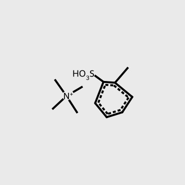 C[N+](C)(C)C.Cc1ccccc1S(=O)(=O)O